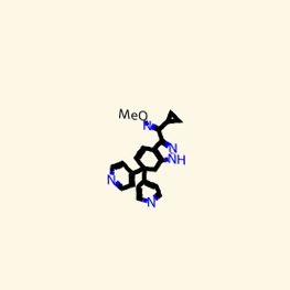 CON=C(c1n[nH]c2c1C=CC(c1ccncc1)(c1ccncc1)C2)C1CC1